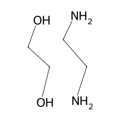 NCCN.OCCO